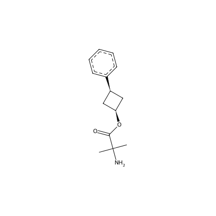 CC(C)(N)C(=O)O[C@H]1C[C@@H](c2ccccc2)C1